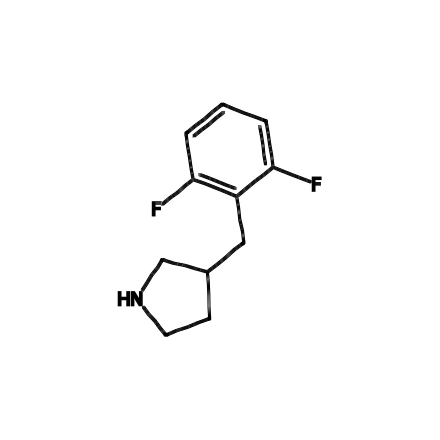 Fc1cccc(F)c1CC1CCNC1